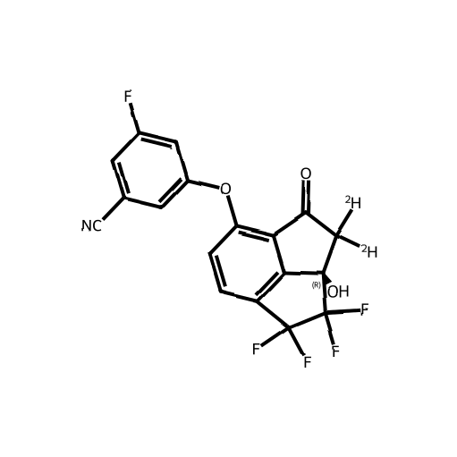 [2H]C1([2H])C(=O)c2c(Oc3cc(F)cc(C#N)c3)ccc3c2[C@@]1(O)C(F)(F)C3(F)F